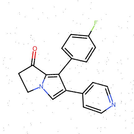 O=C1CCn2cc(-c3ccncc3)c(-c3ccc(F)cc3)c21